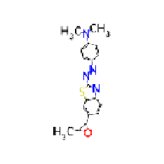 CC1OC1c1ccc2nc(/N=N/c3ccc(N(C)C)cc3)sc2c1